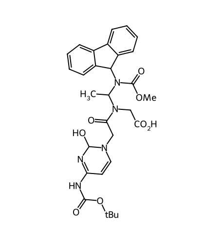 COC(=O)N(C1c2ccccc2-c2ccccc21)C(C)N(CC(=O)O)C(=O)CN1C=CC(NC(=O)OC(C)(C)C)=NC1O